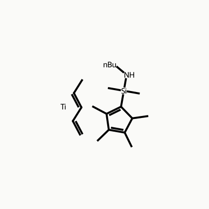 C=CC=CC.CCCCN[Si](C)(C)C1=C(C)C(C)=C(C)C1C.[Ti]